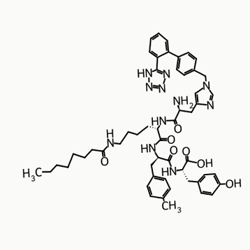 CCCCCCCC(=O)NCCCC[C@H](NC(=O)[C@@H](N)Cc1cn(Cc2ccc(-c3ccccc3-c3nnn[nH]3)cc2)cn1)C(=O)N[C@H](Cc1ccc(C)cc1)C(=O)N[C@@H](Cc1ccc(O)cc1)C(=O)O